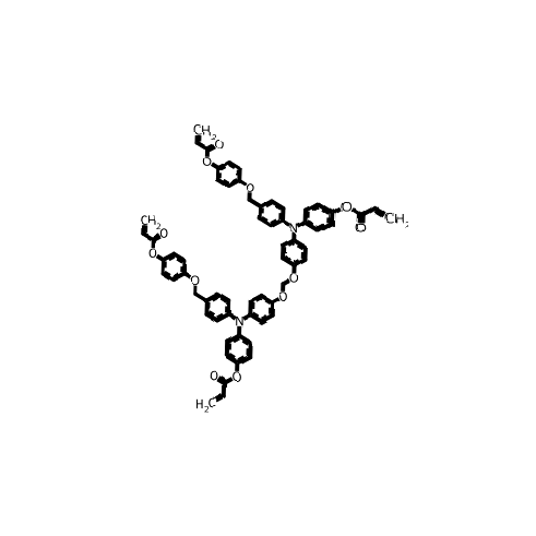 C=CC(=O)Oc1ccc(OCc2ccc(N(c3ccc(OCOc4ccc(N(c5ccc(COc6ccc(OC(=O)C=C)cc6)cc5)c5ccc(OC(=O)C=C)cc5)cc4)cc3)c3ccc(OC(=O)C=C)cc3)cc2)cc1